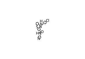 O=C(NCc1ccncc1)c1ccc2c(c1)N=C(NCc1ccc(Cl)cc1)c1ccccc1S2